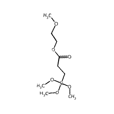 COCCOC(=O)CC[Si](OC)(OC)OC